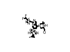 COCC1CN(c2cc(S(=O)(=O)N[C@@]3(C#N)C[C@H]3C)cn3c(-c4nnc(C(F)F)s4)ncc23)CC(C)(C)N1